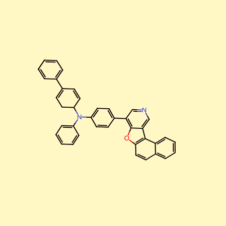 C1=CC(N(c2ccccc2)c2ccc(-c3cncc4c3oc3ccc5ccccc5c34)cc2)CC=C1c1ccccc1